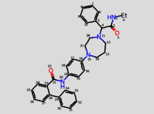 CCNC(=O)C(c1ccccc1)N1CCCN(c2ccc(NC(=O)c3ccccc3-c3ccccc3)cc2)CC1